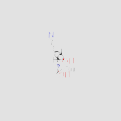 CCCC[C@](C)(O)C/C=C/[C@@H]1[C@H]2CC(CCCCCN(C)C)=C[C@H]2C[C@H]1O